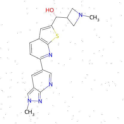 CN1CC([C@@H](O)c2cc3ccc(-c4cnc5nn(C)cc5c4)nc3s2)C1